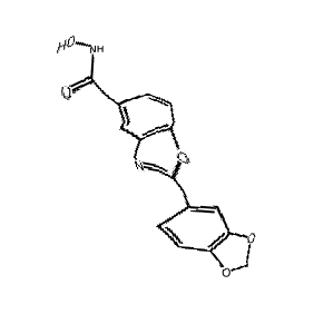 O=C(NO)c1ccc2oc(-c3ccc4c(c3)OCO4)nc2c1